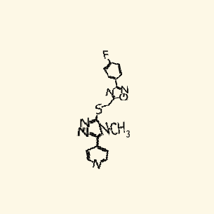 Cn1c(SCc2nc(-c3ccc(F)cc3)no2)nnc1-c1ccncc1